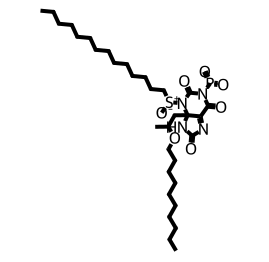 CCCCCCCCCCCCCC[S+]([O-])N1C(=O)N(P(=O)=O)C(=O)C2=NC(=O)NC21CC(C)OCCCCCCCCCC